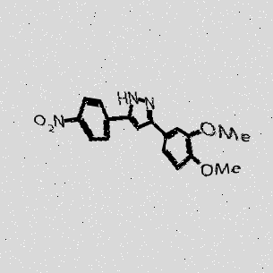 COc1ccc(-c2cc(-c3ccc([N+](=O)[O-])cc3)[nH]n2)cc1OC